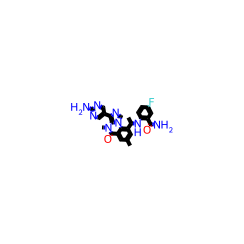 Cc1cc(C(C)Nc2ccc(F)cc2C(N)=O)c2c(c1)c(=O)n(C)c1c(-c3cnc(N)nc3)ncn21